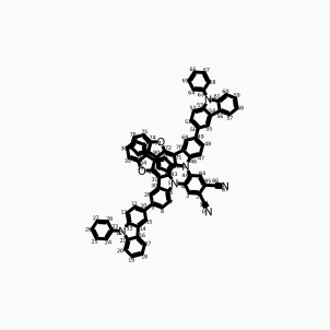 N#Cc1cc(-n2c3ccc(-c4ccc5c(c4)c4ccccc4n5-c4ccccc4)cc3c3c4oc5ccccc5c4ccc32)c(-n2c3ccc(-c4ccc5c(c4)c4ccccc4n5-c4ccccc4)cc3c3c4oc5ccccc5c4ccc32)cc1C#N